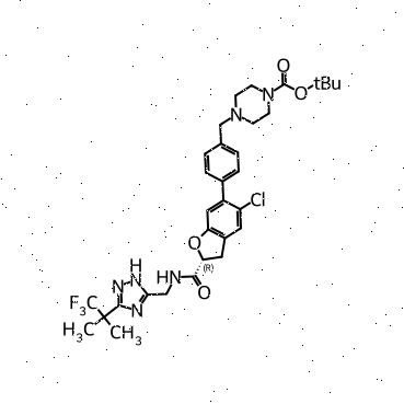 CC(C)(C)OC(=O)N1CCN(Cc2ccc(-c3cc4c(cc3Cl)C[C@H](C(=O)NCc3nc(C(C)(C)C(F)(F)F)n[nH]3)O4)cc2)CC1